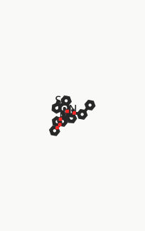 c1ccc(-c2ccc(-c3cc(-c4cccc(-c5ccccc5)c4)nc(-c4cccc5sc6cccc(-c7nc8ccccc8n7-c7ccccc7)c6c45)n3)cc2)cc1